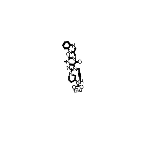 CC#CCn1c(N2CCCC(NC(=O)OC(C)(C)C)C2)nc2c1c(=O)n(Cc1cnc3ccccc3n1)c(=O)n2C